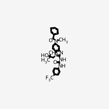 CN(C(=O)c1ccccc1)c1ccc2c(c1)nc(NC(=O)Nc1ccc(C(F)(F)F)cc1)n2CC(C)(C)O